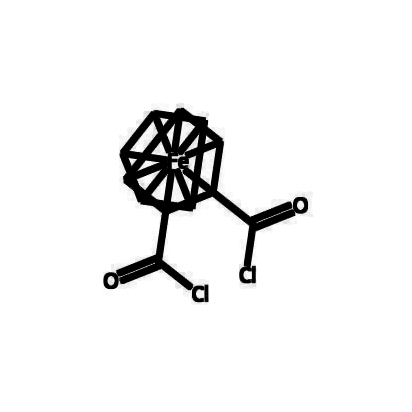 O=C(Cl)[C]12[CH]3[CH]4[CH]5[C]1(C(=O)Cl)[Fe]43521678[CH]2[CH]1[CH]6[CH]7[CH]28